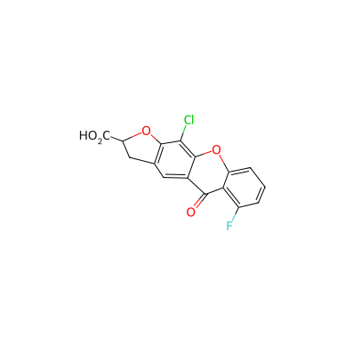 O=C(O)C1Cc2cc3c(=O)c4c(F)cccc4oc3c(Cl)c2O1